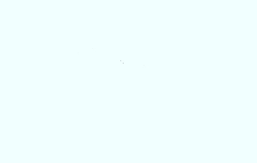 C#Cc1ccc(C(=O)c2c(CCCC)cc3n2CC=C3C(=O)O)cc1